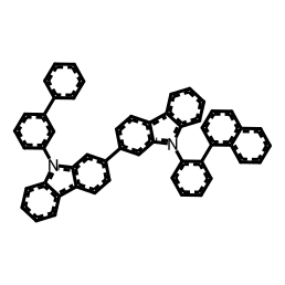 c1ccc(-c2cccc(-n3c4ccccc4c4ccc(-c5ccc6c7ccccc7n(-c7ccccc7-c7cccc8ccccc78)c6c5)cc43)c2)cc1